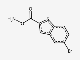 NOC(=O)c1cc2cc(Br)ccc2s1